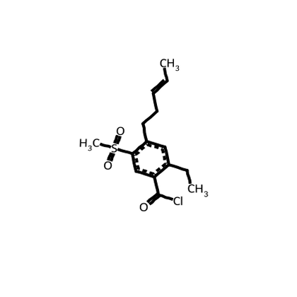 CC=CCCc1cc(CC)c(C(=O)Cl)cc1S(C)(=O)=O